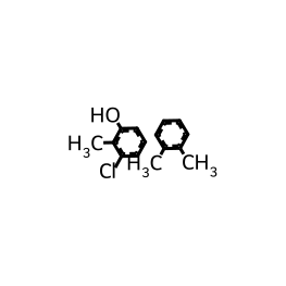 Cc1c(O)cccc1Cl.Cc1ccccc1C